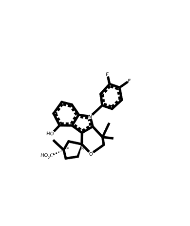 CC1(C)CO[C@@]2(CC[C@](C)(C(=O)O)C2)c2c1n(-c1ccc(F)c(F)c1)c1cccc(O)c21